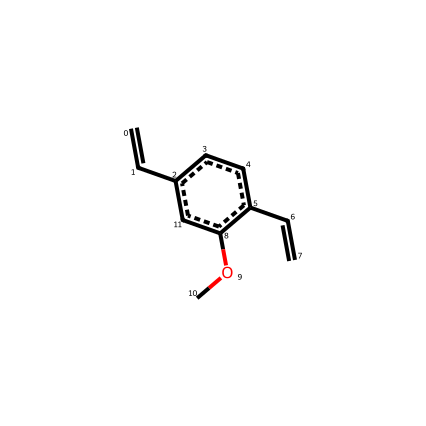 C=Cc1ccc(C=C)c(OC)c1